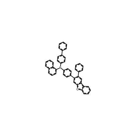 c1ccc(-c2ccc(N(c3ccc(-c4cc5oc6ccccc6c5cc4-c4ccccc4)cc3)c3cccc4ccccc34)cc2)cc1